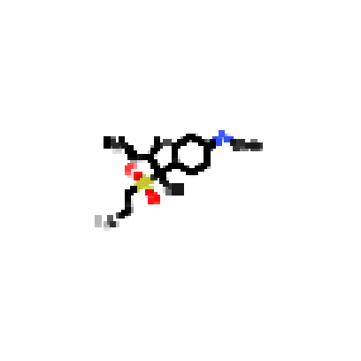 C=CC(C)C(C#N)(C1CCC(=NOC)CC1)S(=O)(=O)CCC(F)(F)F